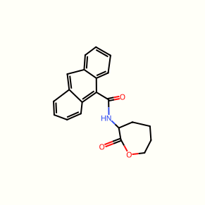 O=C(NC1CCCCOC1=O)c1c2ccccc2cc2ccccc12